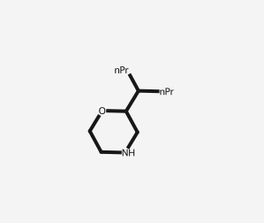 CCCC(CCC)C1CNCCO1